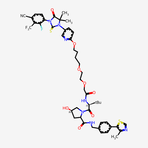 Cc1ncsc1-c1ccc(CNC(=O)C2C[C@@H](O)CN2C(=O)[C@@H](NC(=O)COCCOCCCCOc2ccc(N3C(=S)N(c4ccc(C#N)c(C(F)(F)F)c4F)C(=O)C3(C)C)cn2)C(C)(C)C)cc1